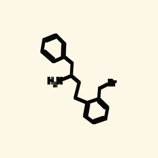 NC(CCc1ccccc1CBr)Cc1ccccc1